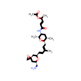 CC(=O)OC(C)C=CC(=O)N[C@@H]1C[C@H](C)[C@H](CC=C(C)C=C[C@@H]2C[C@]3(CO3)C[C@@H](CN)O2)O[C@@H]1C